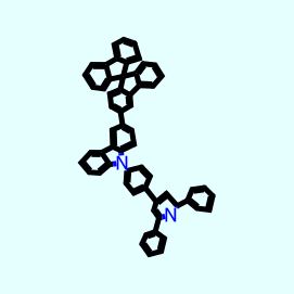 c1ccc(-c2cc(-c3ccc(-n4c5ccccc5c5cc(-c6ccc7c(c6)-c6ccccc6C76c7ccccc7-c7ccccc76)ccc54)cc3)cc(-c3ccccc3)n2)cc1